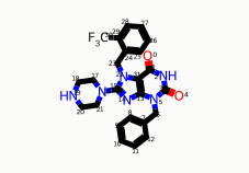 O=c1[nH]c(=O)n(Cc2ccccc2)c2nc(N3CCNCC3)n(Cc3ccccc3C(F)(F)F)c12